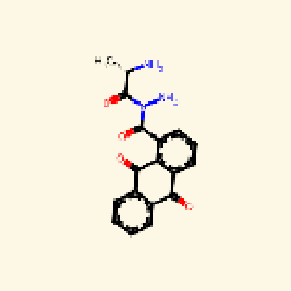 C[C@H](N)C(=O)N(N)C(=O)c1cccc2c1C(=O)c1ccccc1C2=O